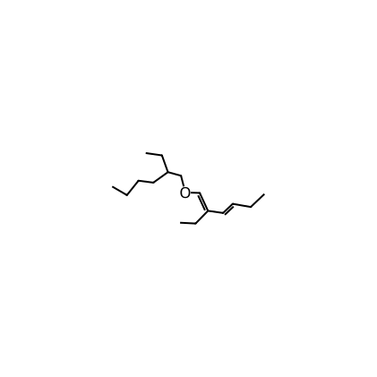 CCC=CC(=COCC(CC)CCCC)CC